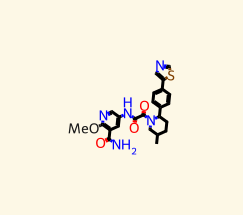 COc1ncc(NC(=O)C(=O)N2CC(C)CCC2c2ccc(-c3cncs3)cc2)cc1C(N)=O